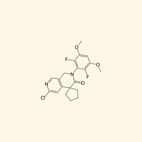 COc1cc(OC)c(F)c(N2Cc3cnc(Cl)cc3C3(CCCC3)C2=O)c1F